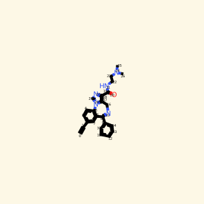 C#Cc1ccc2c(c1)C(c1ccccc1)=NCc1c(C(=O)NCCN(C)C)ncn1-2